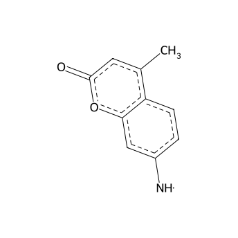 Cc1cc(=O)oc2cc([NH])ccc12